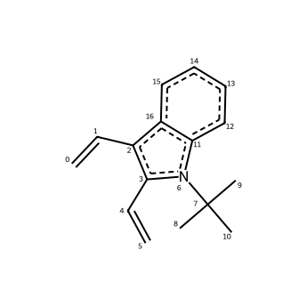 C=Cc1c(C=C)n(C(C)(C)C)c2ccccc12